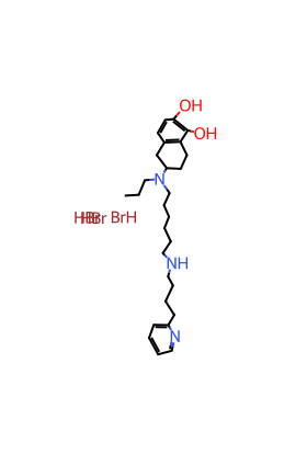 Br.Br.Br.CCCN(CCCCCCNCCCCc1ccccn1)C1CCc2c(ccc(O)c2O)C1